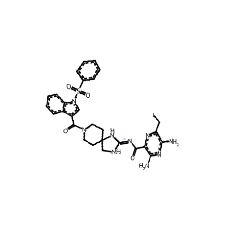 Nc1nc(N)c(C(=O)/N=C2\NCC3(CCN(C(=O)c4cn(S(=O)(=O)c5ccccc5)c5ccccc45)CC3)N2)nc1CI